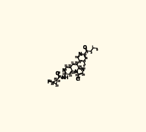 CCCC(=O)c1cc(C)c(-c2cc3cnc(NC(=O)[C@H]4C[C@H]4F)cc3n3c(Cl)cnc23)cn1